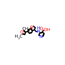 Cc1cc(-c2ccc3c(c2)OCCC3CNc2cnccc2C(=O)O)c(C)o1